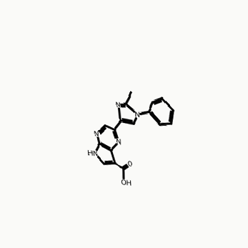 Cc1nc(-c2cnc3[nH]cc(C(=O)O)c3n2)cn1-c1ccccc1